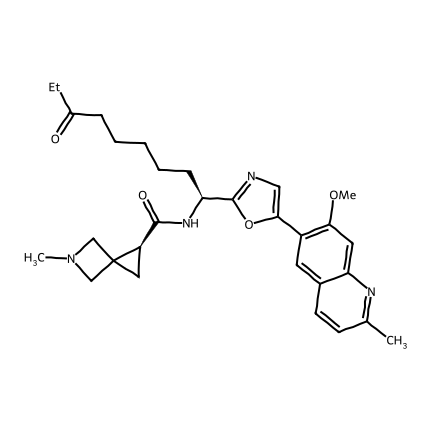 CCC(=O)CCCCC[C@H](NC(=O)[C@H]1CC12CN(C)C2)c1ncc(-c2cc3ccc(C)nc3cc2OC)o1